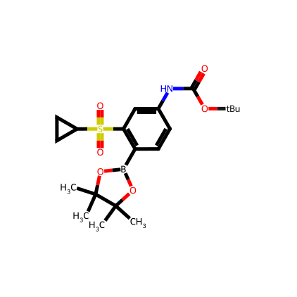 CC(C)(C)OC(=O)Nc1ccc(B2OC(C)(C)C(C)(C)O2)c(S(=O)(=O)C2CC2)c1